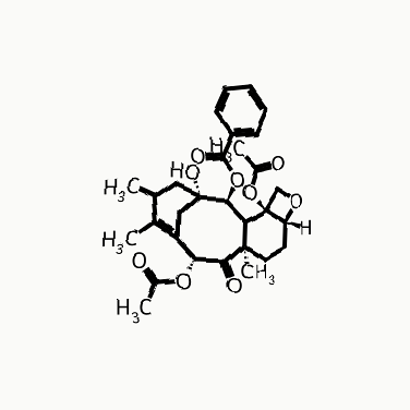 CC(=O)O[C@H]1C(=O)[C@]2(C)CC[C@H]3OC[C@@]3(OC(C)=O)C2[C@H](OC(=O)c2ccccc2)[C@@]2(O)CC1=C(C)C(C)C2